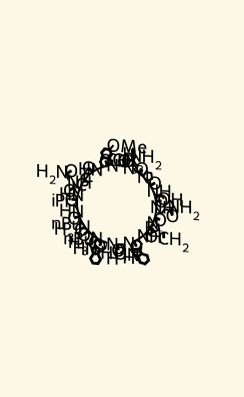 C=C[C@@H]1CB2C(=O)N[C@@H](Cc3c[nH]c4ccccc34)C(=O)NC(CO)C(=O)N[C@@H](Cc3c[nH]c4ccccc34)C(=O)N(C)[C@@H](CCCC)C(=O)N(C)[C@@H](CCCC)C(=O)N[C@@H](CC(C)C)C(=O)N[C@H](C(=O)NCC(N)=O)CSCC(=O)N[C@@H](Cc3ccc(OC)cc3)C(=O)N(C)[C@@H](C)C(=O)N[C@@H](CC(N)=O)C(=O)N3CCCC3C(=O)NC(CO)C(=O)N[C@@H](CCC(N)=O)C(=O)N2C1